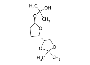 CC(C)(O)O[C@@H]1CC[C@@H](C2COC(C)(C)O2)O1